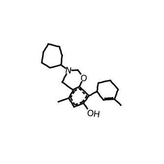 CC1=CC(c2c(O)cc(C)c3c2OCN(C2CCCCCC2)C3)CCC1